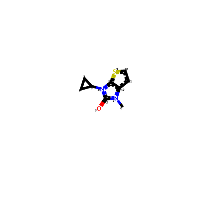 Cn1c(=O)n(C2CC2)c2sccc21